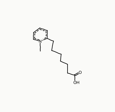 C[n+]1ccccc1CCCCCCC(=O)O